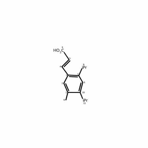 Cc1cc(C=CC(=O)O)c(C(C)C)cc1C(C)C